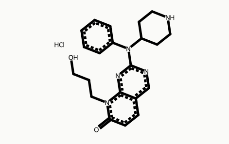 Cl.O=c1ccc2cnc(N(c3ccccc3)C3CCNCC3)nc2n1CCCO